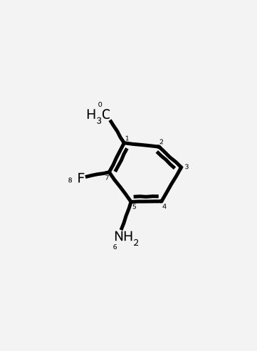 Cc1cccc(N)c1F